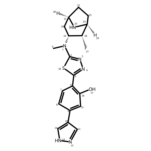 CN(c1nnc(-c2ccc(-c3cn[nH]c3)cc2O)s1)[C@@H]1C[C@H]2CC[C@H](N2)[C@@H]1F